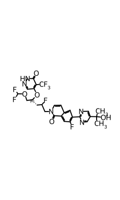 CC(C)(O)c1cnc(-c2cc3ccn(CC(F)C[C@H](COC(F)F)Oc4cn[nH]c(=O)c4C(F)(F)F)c(=O)c3cc2F)nc1